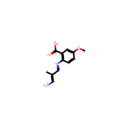 COc1ccc(/N=C/C(C)=C/N)c(C(=O)O)c1